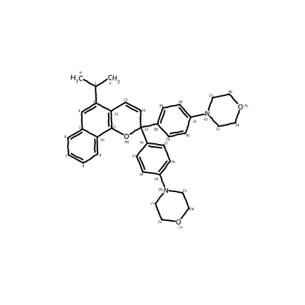 CC(C)c1cc2ccccc2c2c1C=CC(c1ccc(N3CCOCC3)cc1)(c1ccc(N3CCOCC3)cc1)O2